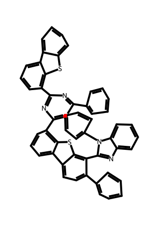 c1ccc(-c2nc(-c3cccc4c3sc3ccccc34)nc(-c3cccc4c3sc3c(-c5nc6ccccc6n5-c5ccccc5)c(-c5ccccc5)ccc34)n2)cc1